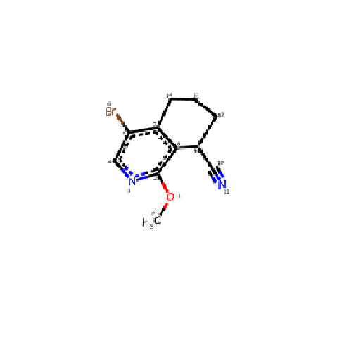 COc1ncc(Br)c2c1C(C#N)CCC2